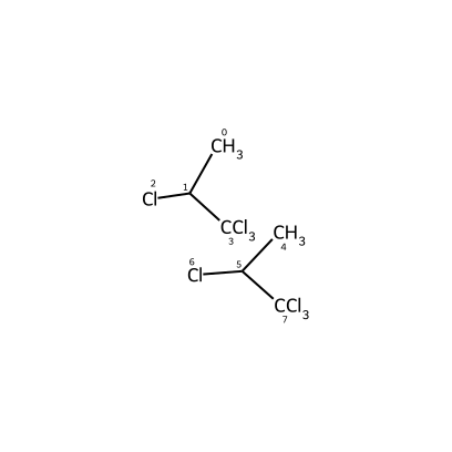 CC(Cl)C(Cl)(Cl)Cl.CC(Cl)C(Cl)(Cl)Cl